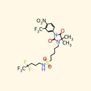 CC1(C)C(=O)N(c2ccc([N+](=O)[O-])c(C(F)(F)F)c2)C(=O)N1CCCCCS(=O)(=O)NCCCC(F)(F)C(F)(F)F